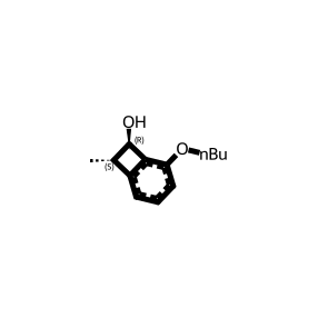 CCCCOc1cccc2c1[C@H](O)[C@H]2C